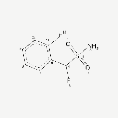 NS(=O)(=O)C(F)c1ccccc1F